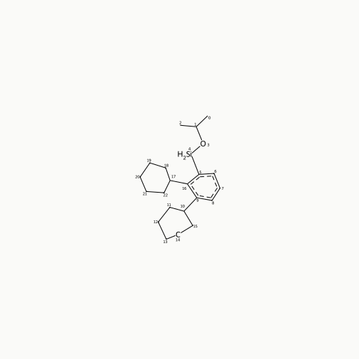 CC(C)O[SiH2]c1cccc(C2CCCCC2)c1C1CCCCC1